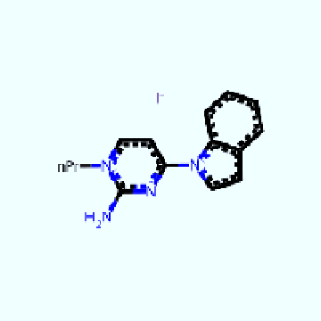 CCC[n+]1ccc(-n2ccc3ccccc32)nc1N.[I-]